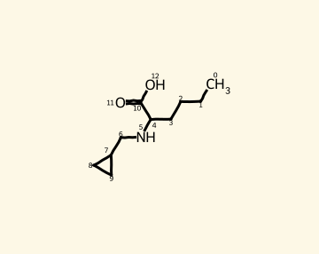 CCCCC(NCC1CC1)C(=O)O